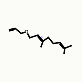 C=CCOC/C=C(\C)CCC=C(C)C